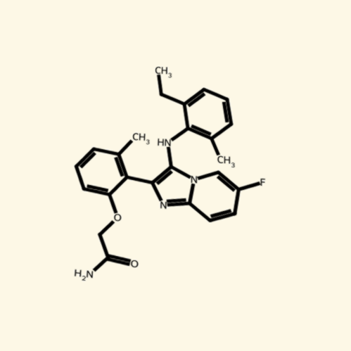 CCc1cccc(C)c1Nc1c(-c2c(C)cccc2OCC(N)=O)nc2ccc(F)cn12